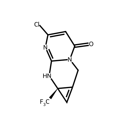 O=c1cc(Cl)nc2n1CC1=C[C@]1(C(F)(F)F)N2